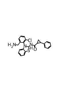 NCc1cccc(Cl)c1N1c2ccccc2SC1NC(=O)C1CC1c1ccccc1